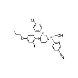 CCCOc1ccc(N2CCN([C@H](CO)c3ccc(C#N)cn3)C[C@H]2c2ccc(Cl)cc2)c(F)c1